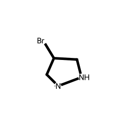 BrC1C[N]NC1